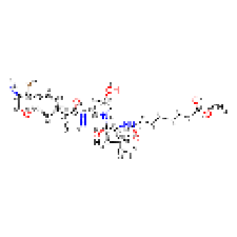 COC(=O)CCCCCCC(=O)N[C@H](C(=O)N1C[C@H](O)C[C@H]1NC(=O)[C@H](C)c1ccc2c(c1)OCc1ncsc1-2)C(C)(C)C